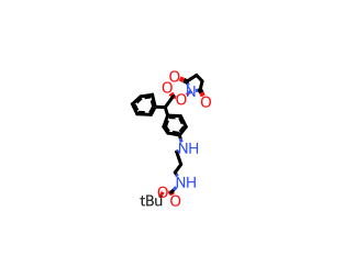 CC(C)(C)OC(=O)NCCCNc1ccc(C(C(=O)ON2C(=O)CCC2=O)c2ccccc2)cc1